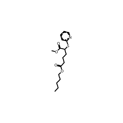 CCCCCOC(=O)CCCC(Sc1ccccn1)C(=O)OC